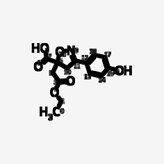 CCOC(=O)CC1(C(=O)O)CC(c2ccc(O)cc2)=NO1